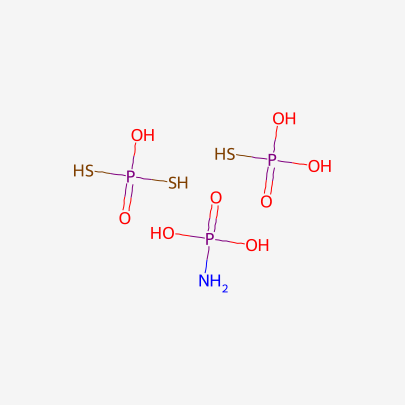 NP(=O)(O)O.O=P(O)(O)S.O=P(O)(S)S